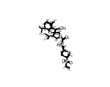 CCS(=O)(=O)c1ccc(CNC(=O)N2CC(C(C)C)C3(C2)Oc2c(C(C)C)ccc(C)c2C3O)nc1